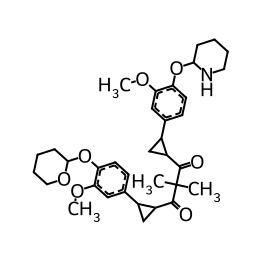 COc1cc(C2CC2C(=O)C(C)(C)C(=O)C2CC2c2ccc(OC3CCCCO3)c(OC)c2)ccc1OC1CCCCN1